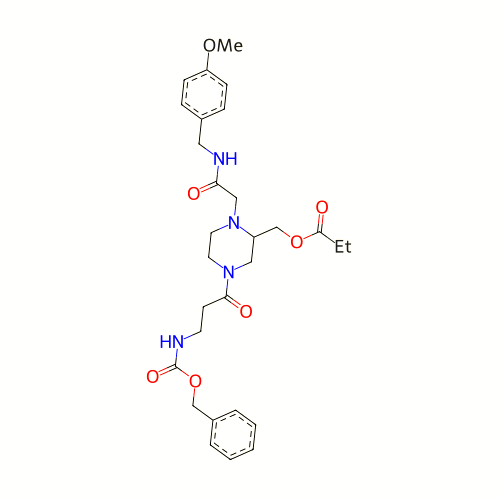 CCC(=O)OCC1CN(C(=O)CCNC(=O)OCc2ccccc2)CCN1CC(=O)NCc1ccc(OC)cc1